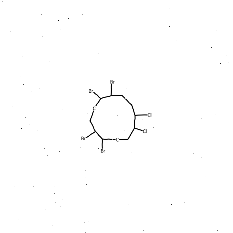 ClC1CCC(Br)C(Br)CCC(Br)C(Br)CCC1Cl